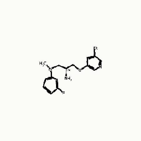 CCc1cncc(OC[C@@H](N)CN(C)c2cccc(F)c2)c1